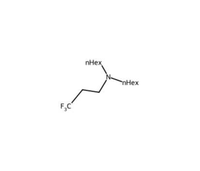 CCCCCCN(CCCCCC)CCC(F)(F)F